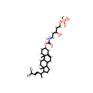 CCC(/C=C/C(C)C1CCC2C3CC=C4C[C@H](OC(=O)NCCC(O)CCOP(C)(=O)O)CCC4(C)C3CCC12C)CC